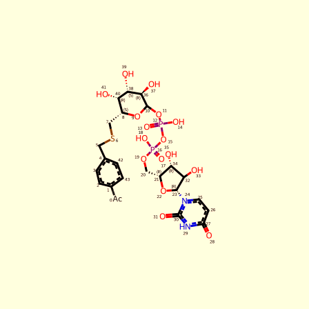 CC(=O)c1ccc(CSC[C@H]2OC(OP(=O)(O)OP(=O)(O)OC[C@H]3O[C@@H](n4ccc(=O)[nH]c4=O)C(O)[C@H]3O)[C@H](O)[C@@H](O)[C@H]2O)cc1